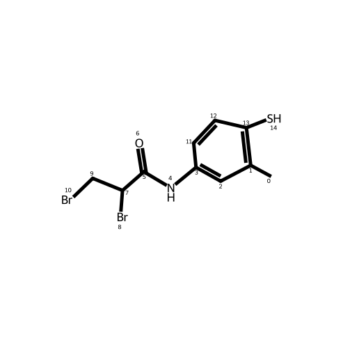 Cc1cc(NC(=O)C(Br)CBr)ccc1S